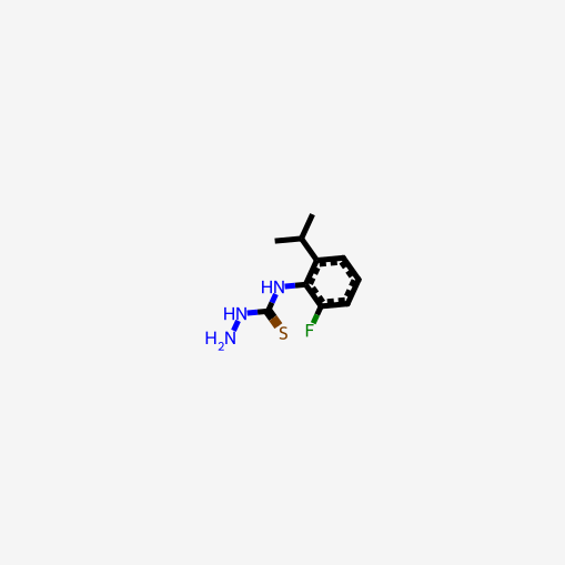 CC(C)c1cccc(F)c1NC(=S)NN